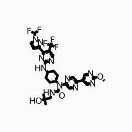 COc1ncc(-c2cnc(N(C(=O)NCC(C)(C)O)C3CCC(Nc4ncc(C(F)(F)F)c(-c5ccn(C(F)F)n5)n4)CC3)cn2)cn1